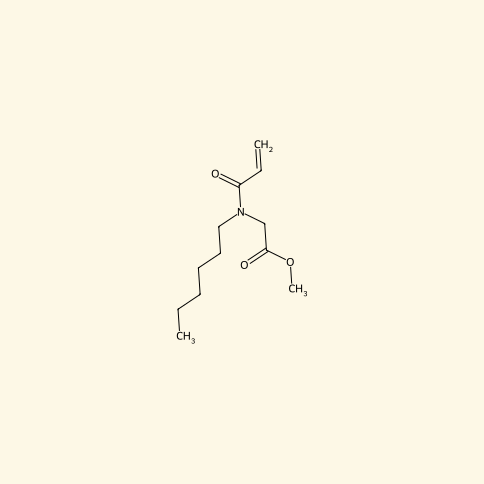 C=CC(=O)N(CCCCCC)CC(=O)OC